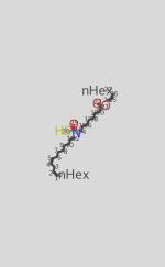 CCCCCC/C=C\C/C=C\CCCCCCCN(CCCCCCCC(=O)OC/C=C\CCCCCC)C(=O)S